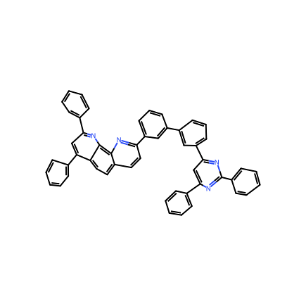 c1ccc(-c2cc(-c3cccc(-c4cccc(-c5ccc6ccc7c(-c8ccccc8)cc(-c8ccccc8)nc7c6n5)c4)c3)nc(-c3ccccc3)n2)cc1